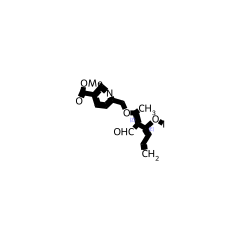 C=C/C=C(OI)\C(C=O)=C(/C)OCc1ccc(C(=O)OC)cn1